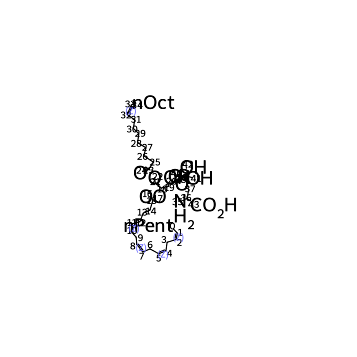 CCCCC/C=C\C/C=C\C/C=C\C/C=C\CCCC(=O)OC(CO)COC(=O)CCCCCCC/C=C\CCCCCCCC.NC(COP(=O)(O)O)C(=O)O